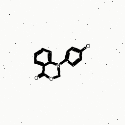 O=C1OCN(c2ccc(Cl)cc2)c2ccccc21